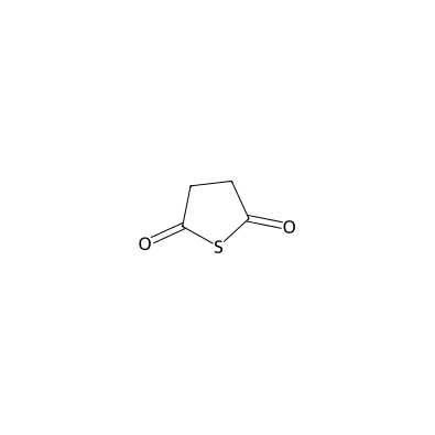 O=C1CCC(=O)S1